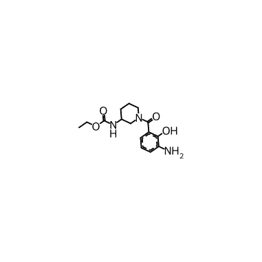 CCOC(=O)NC1CCCN(C(=O)c2cccc(N)c2O)C1